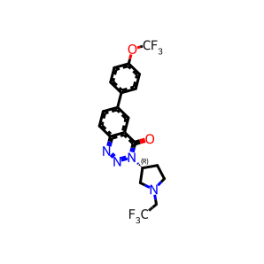 O=c1c2cc(-c3ccc(OC(F)(F)F)cc3)ccc2nnn1[C@@H]1CCN(CC(F)(F)F)C1